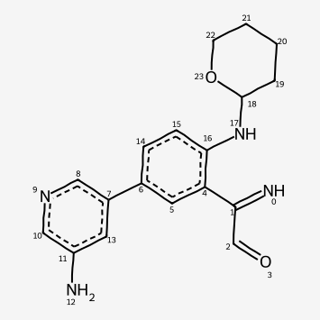 N=C(C=O)c1cc(-c2cncc(N)c2)ccc1NC1CCCCO1